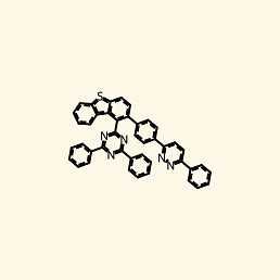 c1ccc(-c2ccc(-c3ccc(-c4ccc5sc6ccccc6c5c4-c4nc(-c5ccccc5)nc(-c5ccccc5)n4)cc3)nn2)cc1